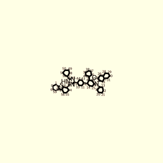 C1=Cc2sc3c(C4N=C(c5ccc(-c6ccc(N(c7ccccc7)c7ccc8ccccc8c7)c7oc8ccccc8c67)cc5)N=C(c5ccccc5)N4)cccc3c2CC1